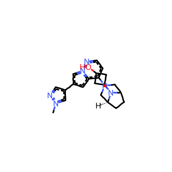 Cn1cc(-c2cc3c(N4CC5CC[C@@H](C4)N5C4CC(O)C4)ccnn3c2)cn1